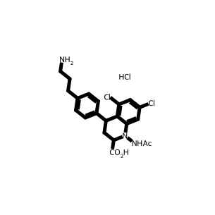 CC(=O)NN1c2cc(Cl)cc(Cl)c2C(c2ccc(CCCN)cc2)CC1C(=O)O.Cl